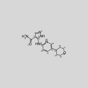 NC(=O)c1cn[nH]c1Nc1ccc(C2CCOCC2)cn1